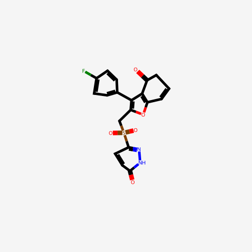 O=C1CC=Cc2oc(CS(=O)(=O)c3ccc(=O)[nH]n3)c(-c3ccc(F)cc3)c21